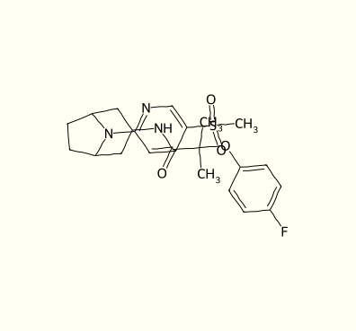 CC(C)(Oc1ccc(F)cc1)C(=O)NC1CC2CCC(C1)N2c1ccc(S(C)(=O)=O)cn1